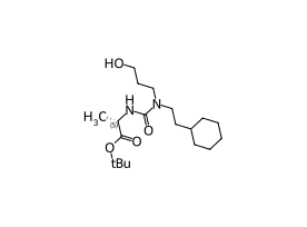 C[C@H](NC(=O)N(CCCO)CCC1CCCCC1)C(=O)OC(C)(C)C